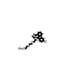 COCCOCCOCCOC1(c2ccc(Cl)cc2)c2ccccc2C2=NCCN21